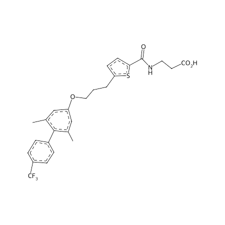 Cc1cc(OCCCc2ccc(C(=O)NCCC(=O)O)s2)cc(C)c1-c1ccc(C(F)(F)F)cc1